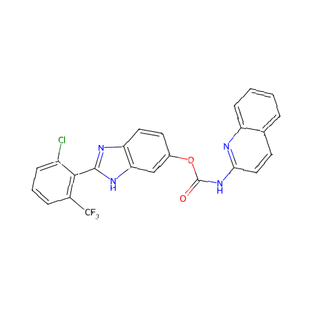 O=C(Nc1ccc2ccccc2n1)Oc1ccc2nc(-c3c(Cl)cccc3C(F)(F)F)[nH]c2c1